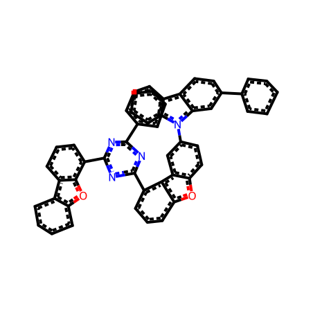 c1ccc(-c2ccc3c4ccccc4n(-c4ccc5oc6cccc(-c7nc(-c8ccccc8)nc(-c8cccc9c8oc8ccccc89)n7)c6c5c4)c3c2)cc1